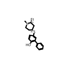 CC[C@H]1C[C@H](Sc2ccc(O)c(-c3ccccc3)c2)CCN1C